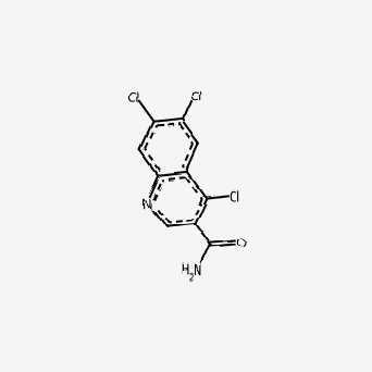 NC(=O)c1cnc2cc(Cl)c(Cl)cc2c1Cl